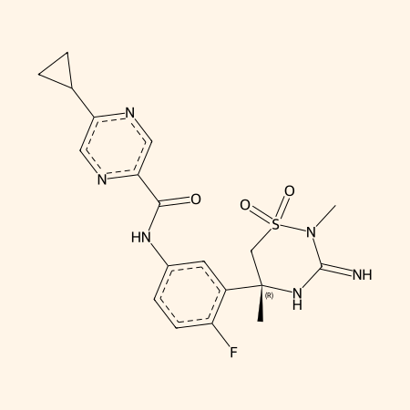 CN1C(=N)N[C@](C)(c2cc(NC(=O)c3cnc(C4CC4)cn3)ccc2F)CS1(=O)=O